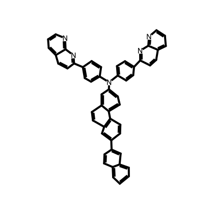 c1ccc2cc(-c3ccc4c(ccc5cc(N(c6ccc(-c7ccc8cccnc8n7)cc6)c6ccc(-c7ccc8cccnc8n7)cc6)ccc54)c3)ccc2c1